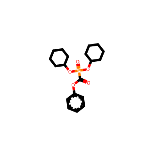 O=C(Oc1ccccc1)P(=O)(OC1CCCCC1)OC1CCCCC1